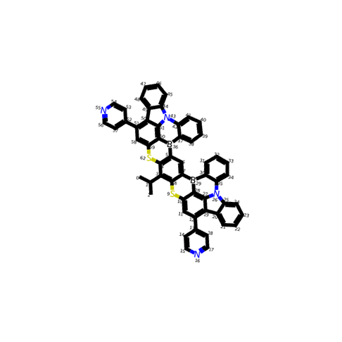 CC(C)c1c2c(cc3c1Sc1cc(-c4ccncc4)c4c5ccccc5n5c4c1B3c1ccccc1-5)B1c3ccccc3-n3c4ccccc4c4c(-c5ccncc5)cc(c1c43)S2